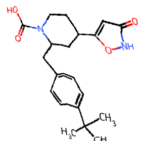 CC(C)(C)c1ccc(CC2CC(c3cc(=O)[nH]o3)CCN2C(=O)O)cc1